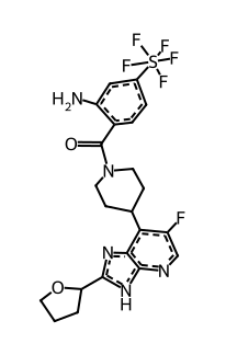 Nc1cc(S(F)(F)(F)(F)F)ccc1C(=O)N1CCC(c2c(F)cnc3[nH]c(C4CCCO4)nc23)CC1